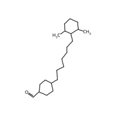 CC1CCCC(C)C1CCCCCCCC1CCC(C=O)CC1